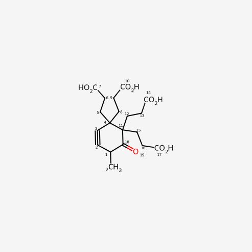 CC1C#CC(CCC(=O)O)(CCC(=O)O)C(CCC(=O)O)(CCC(=O)O)C1=O